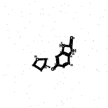 O=c1[nH]c2cc(O[C@@H]3CCOC3)cnc2[nH]1